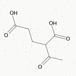 CC(=O)C(CCC(=O)O)C(=O)O